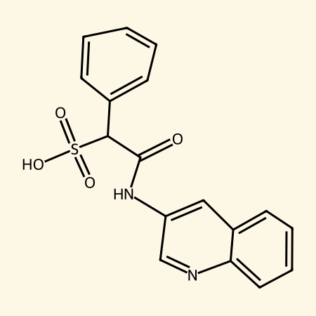 O=C(Nc1cnc2ccccc2c1)C(c1ccccc1)S(=O)(=O)O